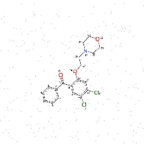 O=C(c1ccccc1)c1cc(Cl)c(Cl)[c]c1OCCN1CCOCC1